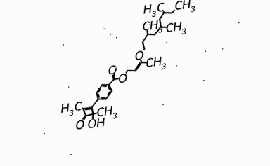 CCC(C)CC(C)CC(C)CCO/C(C)=C\COC(=O)c1ccc(C2=C(C)C(=O)C2(C)O)cc1